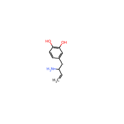 C=CC(N)[CH]c1ccc(O)c(O)c1